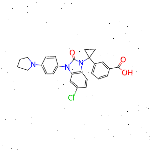 O=C(O)c1cccc(C2(n3c(=O)n(-c4ccc(N5CCCC5)cc4)c4cc(Cl)ccc43)CC2)c1